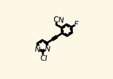 N#CCc1cc(F)ccc1C#Cc1ccnc(Cl)n1